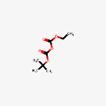 CCOC(=O)OC(=O)OC(C)(C)C